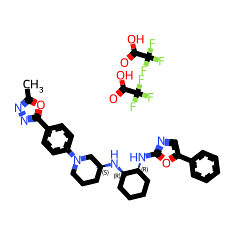 Cc1nnc(-c2ccc(N3CCC[C@H](N[C@@H]4CCCC[C@H]4Nc4ncc(-c5ccccc5)o4)C3)cc2)o1.O=C(O)C(F)(F)F.O=C(O)C(F)(F)F